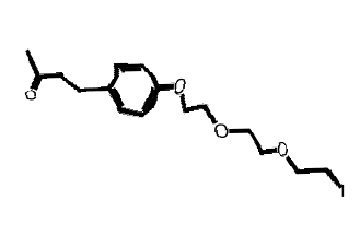 CC(=O)CCc1ccc(OCCOCCOCCI)cc1